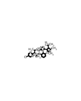 COc1cccc(OC)c1-n1c(NSC(C)C(OC)c2ncc(Cl)cn2)nnc1-c1cnn(C)c1C(C)C